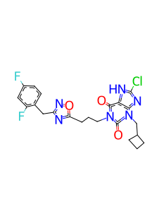 O=c1c2[nH]c(Cl)nc2n(CC2CCC2)c(=O)n1CCCc1nc(Cc2ccc(F)cc2F)no1